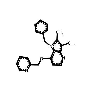 Cc1c(C)n(Cc2ccccc2)c2c(OCc3ccccn3)ccnc12